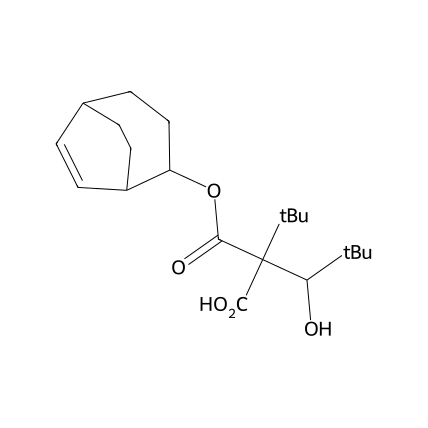 CC(C)(C)C(O)C(C(=O)O)(C(=O)OC1CCC2C=CC1CC2)C(C)(C)C